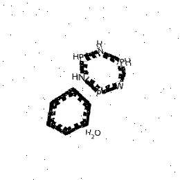 O.c1ccccc1.n1p[nH][pH][nH][pH]1